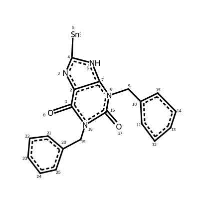 O=c1c2n[c]([Sn])[nH]c2n(Cc2ccccc2)c(=O)n1Cc1ccccc1